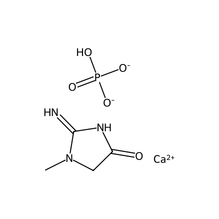 CN1CC(=O)NC1=N.O=P([O-])([O-])O.[Ca+2]